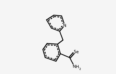 NC(=[Se])c1ccccc1Cc1ccccn1